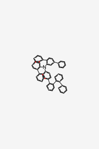 c1ccc(-c2ccc(-c3ccccc3)c(N(c3ccc(-c4ccccc4-c4ccccc4-c4ccccc4)cc3)c3ccccc3-c3ccccc3)c2)cc1